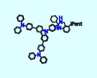 CCCC(C)c1cccc2c1CNC(c1ccc(-n3c4ccc(-c5ccc(N(c6ccccc6)c6ccccc6)cc5)cc4c4cc(-c5ccc(N(c6ccccc6)c6ccccc6)cc5)ccc43)cc1)(C1CCCCC1)N2